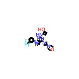 O[C@@H]1CC[C@H]1Nc1nc(N2CC(N3CCOCC3)C2)c2cnn(-c3cccc(C(F)(F)F)c3)c2n1